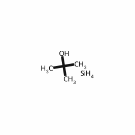 CC(C)(C)O.[SiH4]